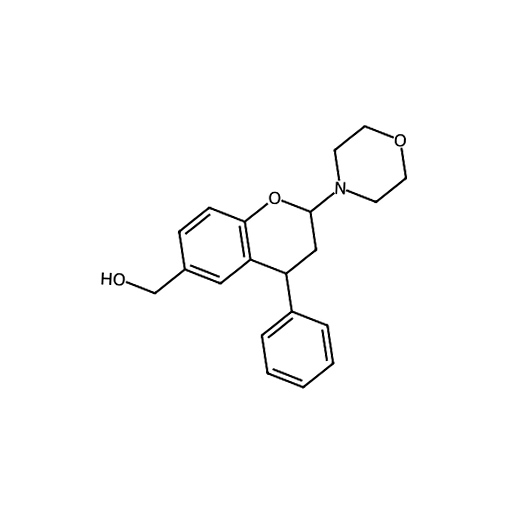 OCc1ccc2c(c1)C(c1ccccc1)CC(N1CCOCC1)O2